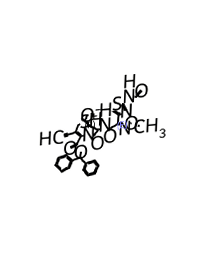 C#CC1=C(C(=O)OC(c2ccccc2)c2ccccc2)N2C(=O)C(NC(=O)/C(=N/OC)c3csc(NC=O)n3)[C@H]2[S+]([O-])C1